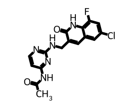 CC(=O)Nc1ccnc(NCc2cc3cc(Cl)cc(F)c3[nH]c2=O)n1